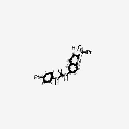 CCc1ccc(NC(=O)Nc2ccc3nc(N(C)C(C)C)ccc3c2)cc1